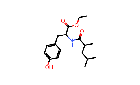 CCOC(=O)[C@H](Cc1ccc(O)cc1)NC(=O)C(C)CC(C)C